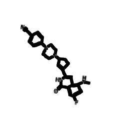 CNc1cc(F)cc2c(=O)[nH]c(C3=CC(N4CCN(c5ccc(C#N)cc5)CC4)CC3)cc12